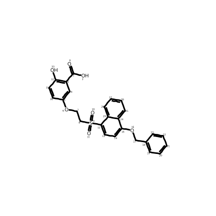 O=C(O)c1cc(OCCS(=O)(=O)c2ccc(OCc3ccccc3)c3ccccc23)ccc1O